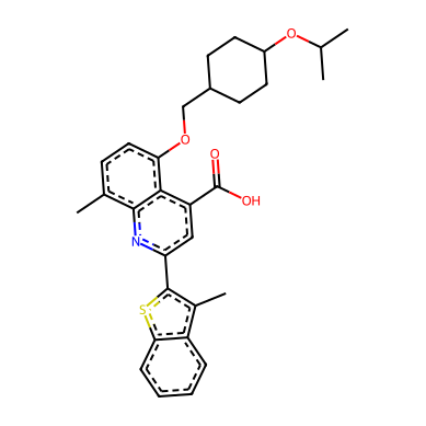 Cc1c(-c2cc(C(=O)O)c3c(OCC4CCC(OC(C)C)CC4)ccc(C)c3n2)sc2ccccc12